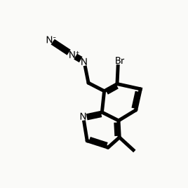 Cc1ccnc2c(CN=[N+]=[N-])c(Br)ccc12